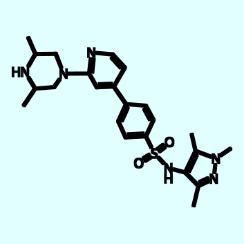 Cc1nn(C)c(C)c1NS(=O)(=O)c1ccc(-c2ccnc(N3CC(C)NC(C)C3)c2)cc1